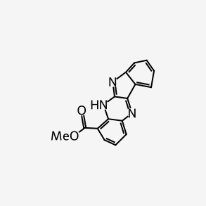 COC(=O)c1cccc2nc3c4ccccc4nc-3[nH]c12